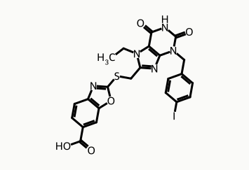 CCn1c(CSc2nc3ccc(C(=O)O)cc3o2)nc2c1c(=O)[nH]c(=O)n2Cc1ccc(I)cc1